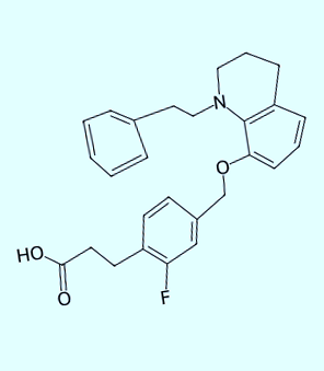 O=C(O)CCc1ccc(COc2cccc3c2N(CCc2ccccc2)CCC3)cc1F